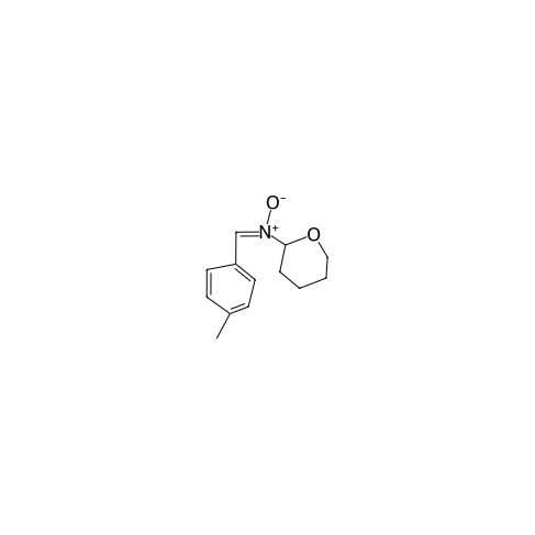 Cc1ccc(/C=[N+](/[O-])C2CCCCO2)cc1